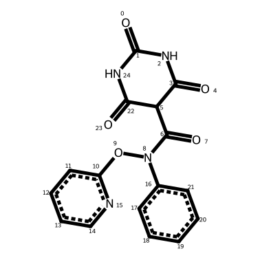 O=C1NC(=O)C(C(=O)N(Oc2ccccn2)c2ccccc2)C(=O)N1